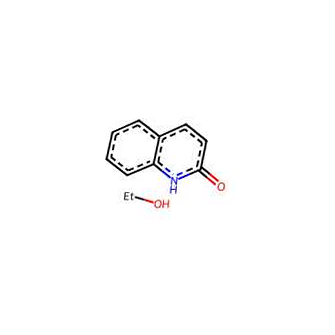 CCO.O=c1ccc2ccccc2[nH]1